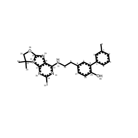 Cc1cccc(-c2cc(CCNc3nc(I)nc4c3nc3n4C(C)(C)CO3)ccc2O)c1